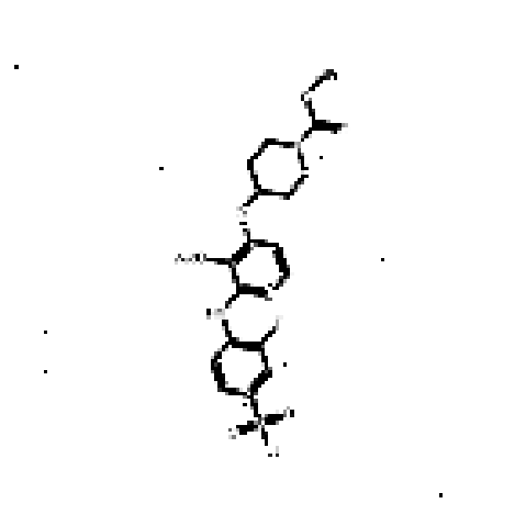 CCS(=O)(=O)c1ccc(Nc2nccc(OC3CCN(C(=O)OC(C)C)CC3)c2OC)c(F)c1